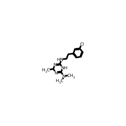 CC1N=C(NCCc2cccc(Cl)c2)NC(N(C)C)=N1